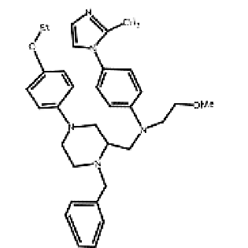 CCOc1ccc(N2CCN(Cc3ccccc3)C(CN(CCOC)c3ccc(-n4ccnc4C)cc3)C2)cc1